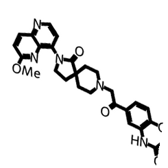 COc1ccc2nccc(N3CCC4(CCN(CC(=O)c5ccc6c(c5)NC(=O)CO6)CC4)C3=O)c2n1